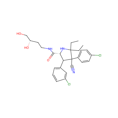 CCC1(CC)N[C@@H](C(=O)NCC[C@H](O)CO)C(c2cccc(Cl)c2)C1(C#N)c1ccc(Cl)cc1